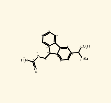 CCCCC(C(=O)O)c1ccc2c(c1)-c1ccccc1C2COC(N)=O